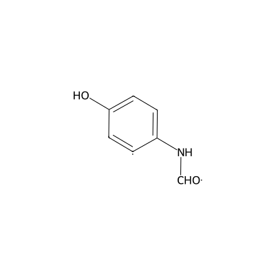 O=[C]Nc1[c]cc(O)cc1